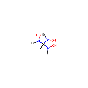 CCN(O)C(C)(N(O)CC)N(O)CC